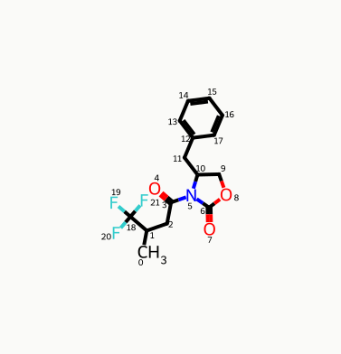 CC(CC(=O)N1C(=O)OCC1Cc1ccccc1)C(F)(F)F